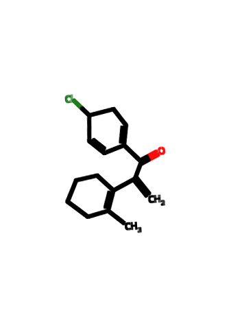 C=C(C(=O)C1=CCC(Cl)C=C1)C1=C(C)CCCC1